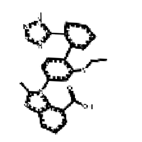 CCSc1cc(-n2c(C)nc3cccc(C(=O)O)c32)ccc1-c1ccccc1-c1nnn[nH]1